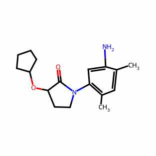 Cc1cc(C)c(N2CCC(OC3CCCC3)C2=O)cc1N